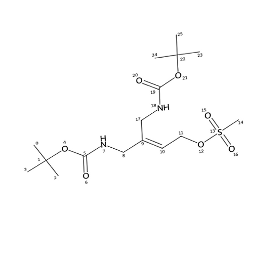 CC(C)(C)OC(=O)NCC(=CCOS(C)(=O)=O)CNC(=O)OC(C)(C)C